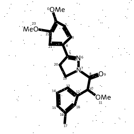 COc1ccc(C2=NN(C(=O)C(OC)c3cccc(C)c3)CC2)cc1OC